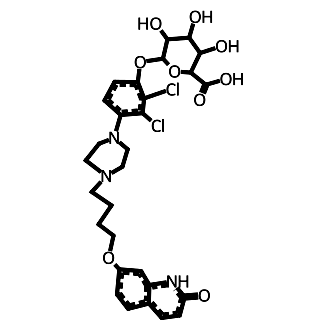 O=C(O)C1OC(Oc2ccc(N3CCN(CCCCOc4ccc5ccc(=O)[nH]c5c4)CC3)c(Cl)c2Cl)C(O)C(O)C1O